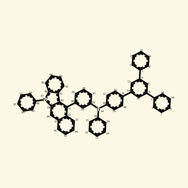 c1ccc(-c2cc(-c3ccccc3)cc(-c3ccc(N(c4ccccc4)c4cccc(-c5c6ccccc6cc6c5c5ccccc5n6-c5ccccc5)c4)cc3)c2)cc1